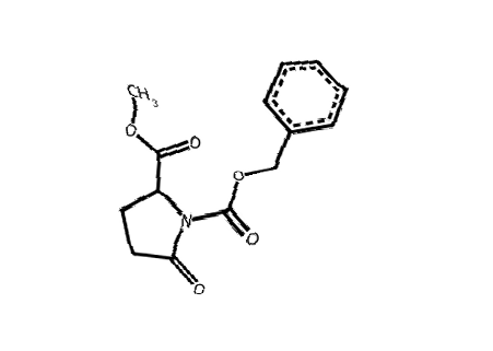 COC(=O)C1CCC(=O)N1C(=O)OCc1ccccc1